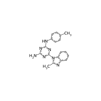 Cc1ccc(Nc2nc(N)nc(-n3c(C)nc4ccccc43)n2)cc1